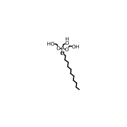 CCCCCCCCCCCO[PH](CO)(OCO)OCO